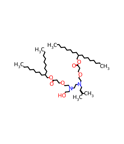 CCCCCCCCC(CCCCCCCC)COC(=O)CCOCCN(CC=C(C)C)CCN(CCO)CCOCCC(=O)OCC(CCCCCCCC)CCCCCCCC